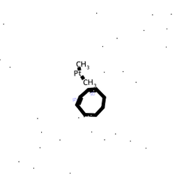 C1=C\CCCC\C=C/1.[CH3][Pt][CH3]